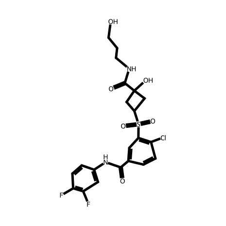 O=C(Nc1ccc(F)c(F)c1)c1ccc(Cl)c(S(=O)(=O)C2CC(O)(C(=O)NCCCO)C2)c1